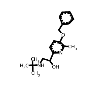 Cc1nc(C(O)CNC(C)(C)C)ccc1OCc1ccccc1